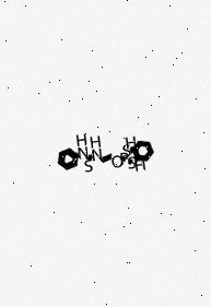 S=C(NCCOP1S[C@@H]2CCCC[C@H]2S1)Nc1ccccc1